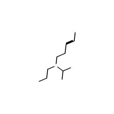 C/C=C/CCN(CCC)C(C)C